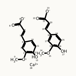 COc1cc(/C=C/C(=O)[O-])ccc1O.COc1cc(/C=C/C(=O)[O-])ccc1O.[Ca+2]